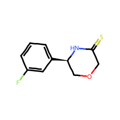 Fc1cccc([C@@H]2COCC(=S)N2)c1